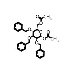 CC(=O)OC[C@H]1O[C@H](OC(C)=O)[C@@H](OCc2ccccc2)[C@@H](OCc2ccccc2)[C@@H]1OCc1ccccc1